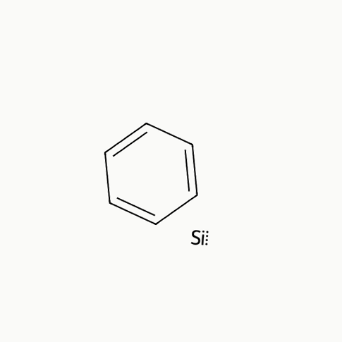 [Si].c1ccccc1